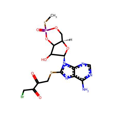 CSP1(=O)OC[C@H]2O[C@@H](n3c(SCC(=O)C(=O)CBr)nc4c(N)ncnc43)C(O)C2O1